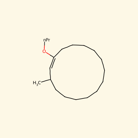 CCCO/C1=C/C(C)CCCCCCCCCCCC1